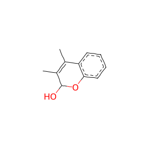 CC1=C(C)C(O)Oc2ccccc21